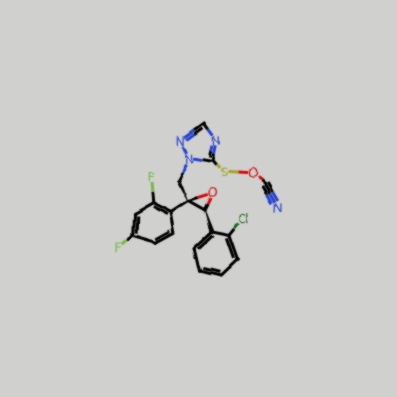 N#COSc1ncnn1C[C@@]1(c2ccc(F)cc2F)O[C@H]1c1ccccc1Cl